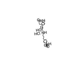 Cc1ccc(OCC(O)CNCCCCc2ccc(NS(C)(=O)=O)cc2)c2c1NC(=O)CC2.Cl